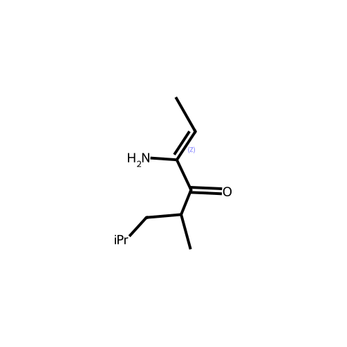 C/C=C(\N)C(=O)C(C)CC(C)C